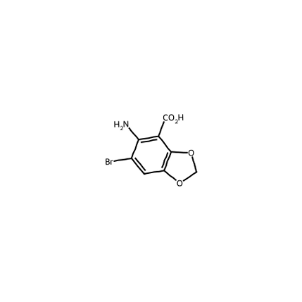 Nc1c(Br)cc2c(c1C(=O)O)OCO2